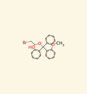 COc1ccccc1C(OC(O)CBr)(c1ccccc1)c1ccccc1